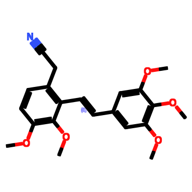 COc1cc(/C=C/c2c(CC#N)ccc(OC)c2OC)cc(OC)c1OC